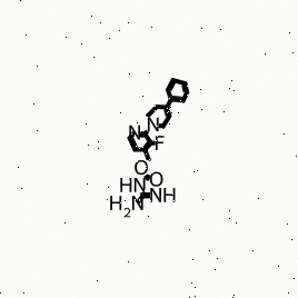 N=C(N)NC(=O)OCc1ccnc(N2CC=C(c3ccccc3)CC2)c1F